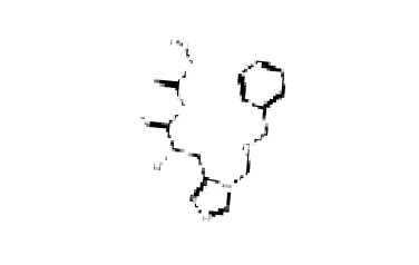 CC(C)(C)OC(=O)OC(=O)[C@@H](N)Cc1cncn1COCc1ccccc1